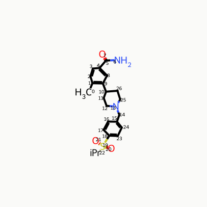 Cc1ccc(C(N)=O)cc1C1CCN(Cc2ccc(S(=O)(=O)C(C)C)cc2)CC1